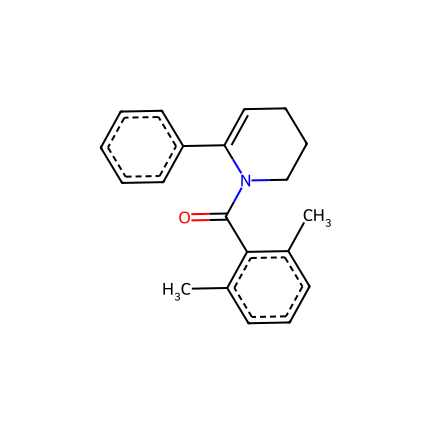 Cc1cccc(C)c1C(=O)N1CCCC=C1c1ccccc1